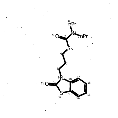 CCCN(CCC)C(=O)SCCCn1c(=O)sc2ccccc21